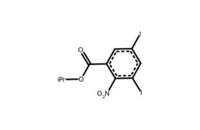 CC(C)OC(=O)c1cc(I)cc(I)c1[N+](=O)[O-]